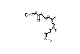 CN(CCCN)CCN(C)CCCNC[C]=O